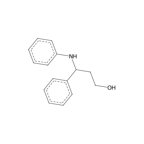 OCCC(Nc1ccccc1)c1ccccc1